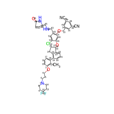 Cc1c(OCCCN2CCC(F)(F)CC2)cccc1-c1cccc2c1CC[C@@H]2Oc1cc(OCc2cc(C#N)cc(C#N)c2)c(CNC[C@H]2CCC(=O)N2)cc1Cl